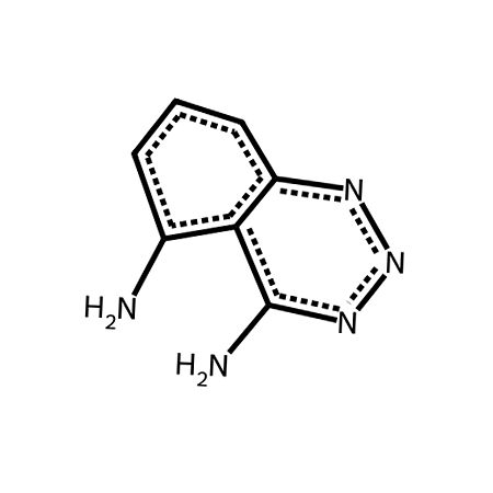 Nc1cccc2nnnc(N)c12